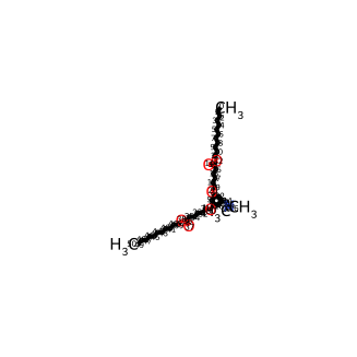 CCCCCCCCCCCCOC(=O)CCCCCOc1cc(CN(C)C)cc(OCCCCCC(=O)OCCCCCCCCCCCC)c1